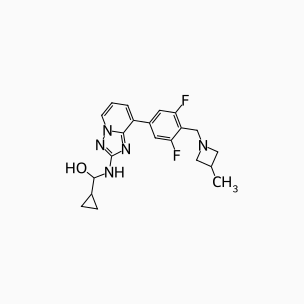 CC1CN(Cc2c(F)cc(-c3cccn4nc(NC(O)C5CC5)nc34)cc2F)C1